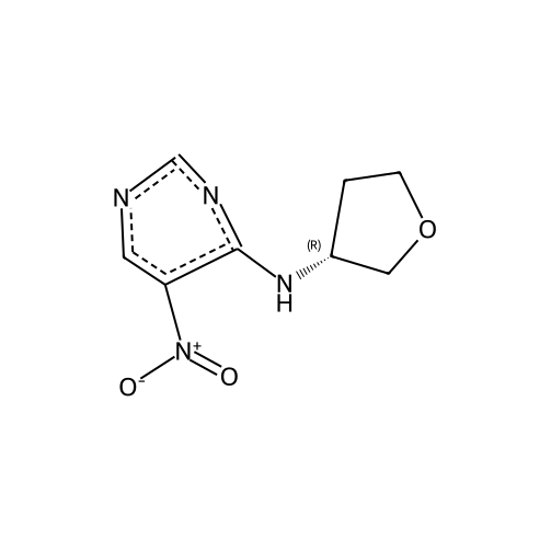 O=[N+]([O-])c1cncnc1N[C@@H]1CCOC1